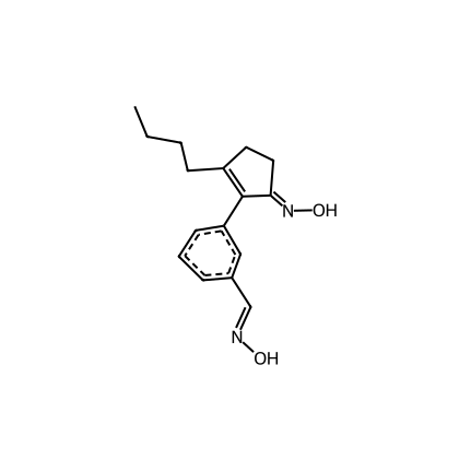 CCCCC1=C(c2cccc(C=NO)c2)C(=NO)CC1